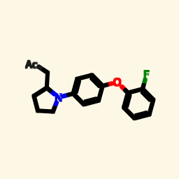 CC(=O)CC1CCCN1c1ccc(Oc2ccccc2F)cc1